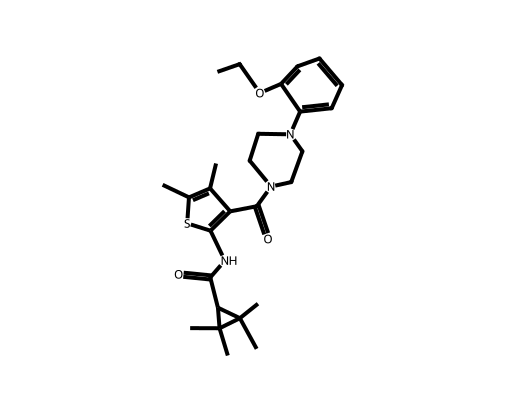 CCOc1ccccc1N1CCN(C(=O)c2c(NC(=O)C3C(C)(C)C3(C)C)sc(C)c2C)CC1